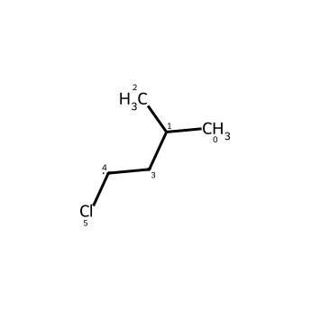 CC(C)C[CH]Cl